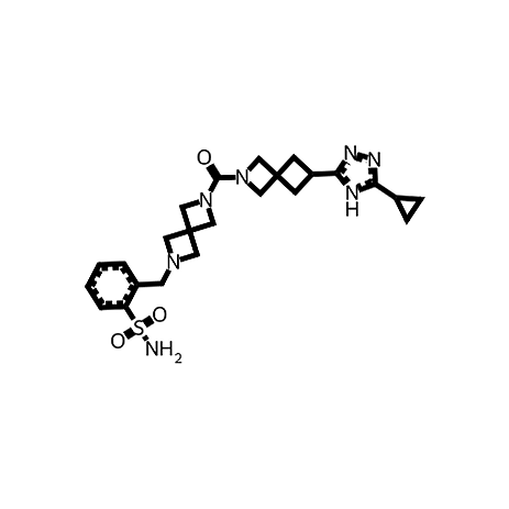 NS(=O)(=O)c1ccccc1CN1CC2(C1)CN(C(=O)N1CC3(CC(c4nnc(C5CC5)[nH]4)C3)C1)C2